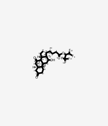 C[C@H](CCC(=O)OC(C(F)F)C(F)(F)F)[C@H]1CC[C@H]2[C@@H]3C(=O)C[C@@H]4CC(=O)CC[C@]4(C)[C@H]3CC(O)[C@]12C